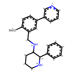 COc1ccc(-c2cccnc2)cc1CNC1CCCNC1c1ccccc1